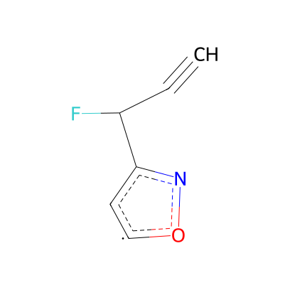 C#CC(F)c1c[c]on1